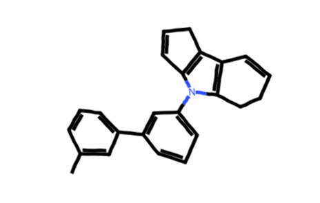 Cc1cccc(-c2cccc(-n3c4c(c5c3CCC=C5)CC=C4)c2)c1